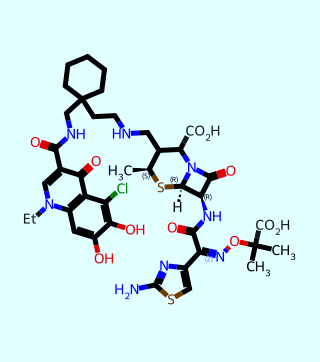 CCn1cc(C(=O)NCC2(CCNCC3C(C(=O)O)N4C(=O)[C@@H](NC(=O)/C(=N\OC(C)(C)C(=O)O)c5csc(N)n5)[C@H]4S[C@H]3C)CCCCC2)c(=O)c2c(Cl)c(O)c(O)cc21